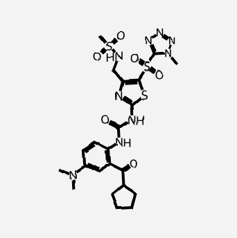 CN(C)c1ccc(NC(=O)Nc2nc(CNS(C)(=O)=O)c(S(=O)(=O)c3nnnn3C)s2)c(C(=O)C2CCCC2)c1